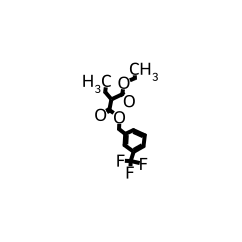 CCOC(=O)C(CC)C(=O)OCc1cccc(C(F)(F)F)c1